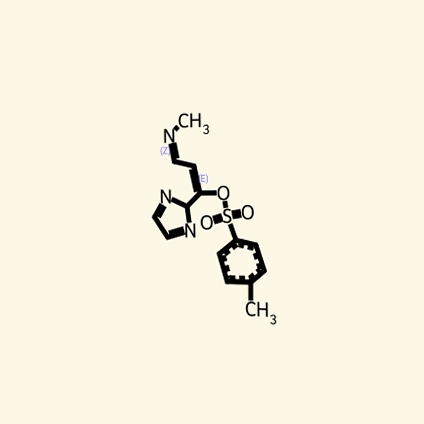 C/N=C\C=C(\OS(=O)(=O)c1ccc(C)cc1)C1N=CC=N1